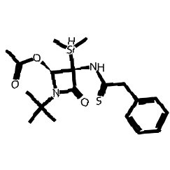 CC(=O)O[C@@H]1N(C(C)(C)C)C(=O)[C@@]1(NC(=S)Cc1ccccc1)[SiH](C)C